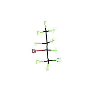 FC(F)(F)C(F)(F)C(F)(Br)C(F)(F)Cl